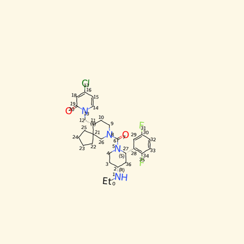 CCN[C@@H]1CCN(C(=O)N2CC[C@@H](Cn3ccc(Cl)cc3=O)C3(CCCC3)C2)[C@H](c2cc(F)ccc2F)C1